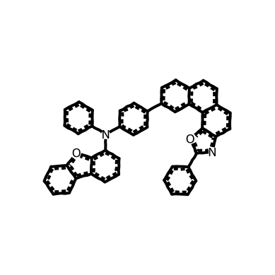 c1ccc(-c2nc3ccc4ccc5ccc(-c6ccc(N(c7ccccc7)c7cccc8c7oc7ccccc78)cc6)cc5c4c3o2)cc1